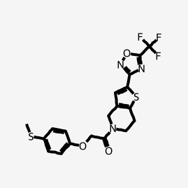 CSc1ccc(OCC(=O)N2CCc3sc(-c4noc(C(F)(F)F)n4)cc3C2)cc1